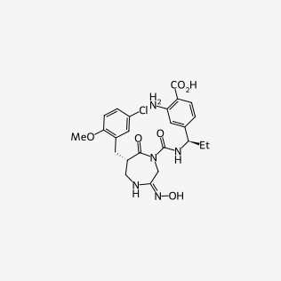 CC[C@@H](NC(=O)N1C/C(=N\O)NC[C@H](Cc2cc(Cl)ccc2OC)C1=O)c1ccc(C(=O)O)c(N)c1